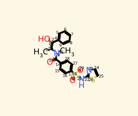 C[C@@H]([C@H](O)c1ccccc1)N(C)C(=O)c1ccc(S(=O)(=O)Nc2nccs2)cc1